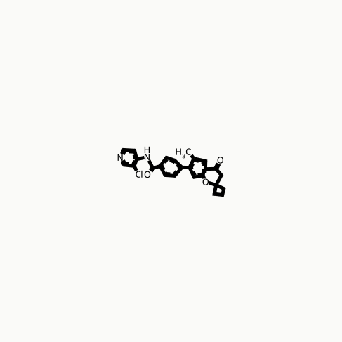 Cc1cc2c(cc1-c1ccc(C(=O)Nc3ccncc3Cl)cc1)OC1(CCC1)CC2=O